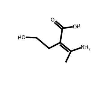 C/C(N)=C(\CCO)C(=O)O